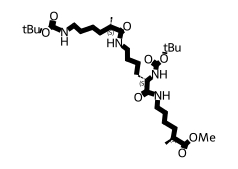 COC(=O)[C@@H](C)CCCCNC(=O)[C@H](CCCCNC(=O)[C@@H](C)CCCCNC(=O)OC(C)(C)C)NC(=O)OC(C)(C)C